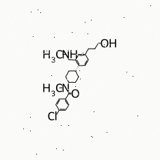 CNCc1cc(CCCO)ccc1[C@H]1CC[C@@H](N(C)C(=O)c2ccc(Cl)cc2)CC1